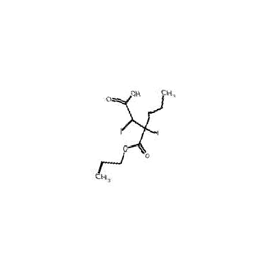 CCCOC(=O)C(I)(CCC)C(I)C(=O)O